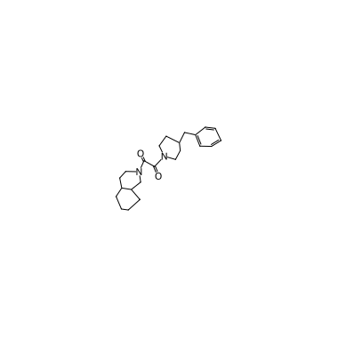 O=C(C(=O)N1CCC2CCCCC2C1)N1CCC(Cc2ccccc2)CC1